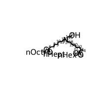 CCCCCCCCC(CCCCCCC)OC(=O)CCCCCCCN(CCO)CCCCCCC(C)C(=O)OCCCCCC